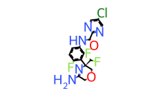 NC1=N[C@@](c2cc(NC(=O)c3ncc(Cl)cn3)ccc2F)(C(F)F)COC1